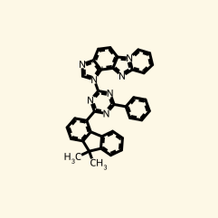 CC1(C)c2ccccc2-c2c(-c3nc(-c4ccccc4)nc(-n4cnc5ccc6c(nc7ccccn76)c54)n3)cccc21